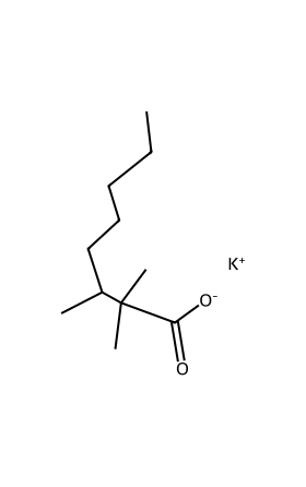 CCCCCC(C)C(C)(C)C(=O)[O-].[K+]